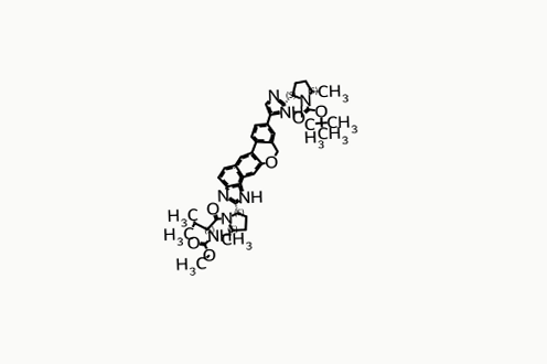 COC(=O)N[C@H](C(=O)N1[C@@H](C)CC[C@H]1c1nc2ccc3cc4c(cc3c2[nH]1)OCc1cc(-c2cnc([C@@H]3CC[C@H](C)N3C(=O)OC(C)(C)C)[nH]2)ccc1-4)C(C)C